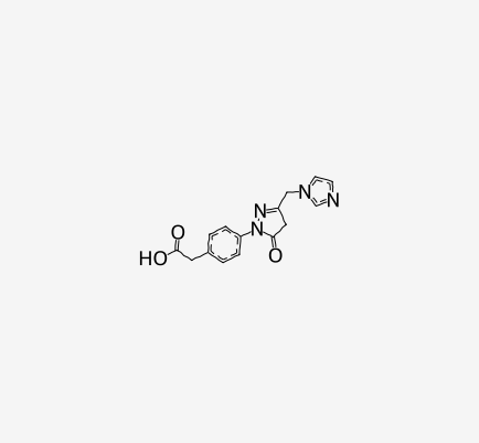 O=C(O)Cc1ccc(N2N=C(Cn3ccnc3)CC2=O)cc1